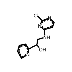 OC(CNc1ccnc(Cl)n1)c1ccccn1